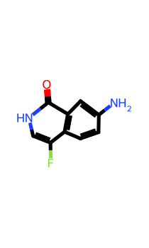 Nc1ccc2c(F)c[nH]c(=O)c2c1